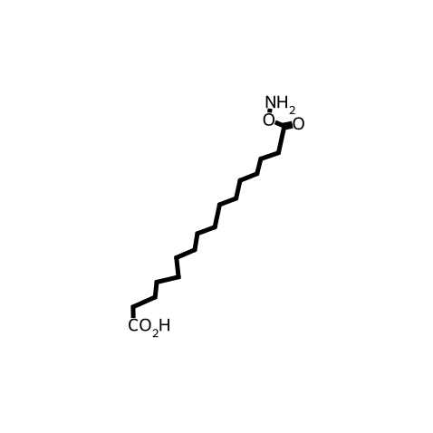 NOC(=O)CCCCCCCCCCCCCCC(=O)O